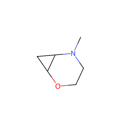 CN1CCOC2CC21